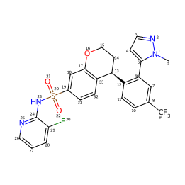 Cn1nccc1-c1cc(C(F)(F)F)ccc1[C@@H]1CCOc2cc(S(=O)(=O)Nc3ncccc3F)ccc21